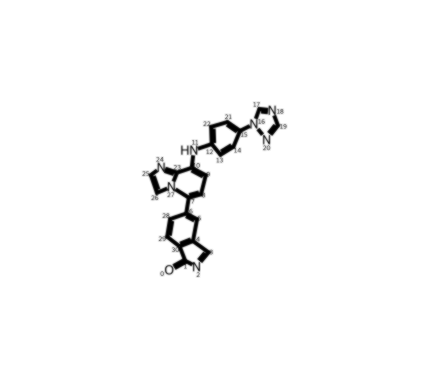 O=C1N=Cc2cc(-c3ccc(Nc4ccc(-n5cncn5)cc4)c4nccn34)ccc21